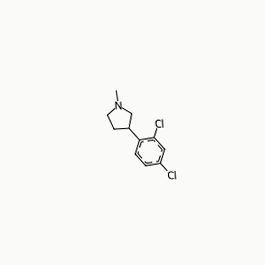 CN1CCC(c2ccc(Cl)cc2Cl)C1